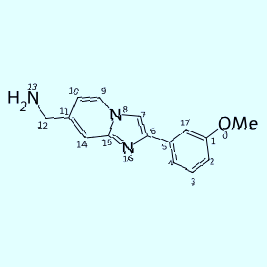 COc1cccc(-c2cn3ccc(CN)cc3n2)c1